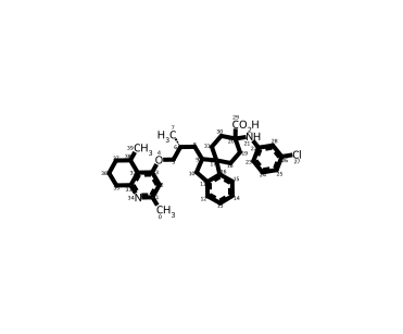 Cc1cc(OC[C@H](C)CC2Cc3ccccc3C23CCC(Nc2cccc(Cl)c2)(C(=O)O)CC3)c2c(n1)CCCC2C